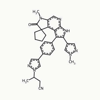 CC(CC#N)n1cc(-c2ccc(-c3c(-c4cnn(C)c4)[nH]c4ncc5c(c34)C3(CCCC3)C(=O)N5C)cc2)cn1